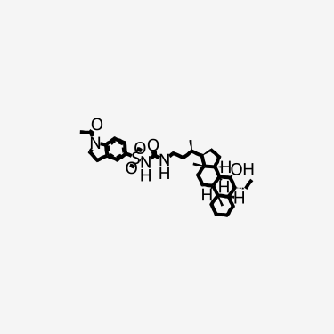 CC[C@H]1[C@@H](O)[C@@H]2[C@H](CC[C@]3(C)[C@@H]([C@H](C)CCNC(=O)NS(=O)(=O)c4ccc5c(c4)CCN5C(C)=O)CC[C@@H]23)[C@@]2(C)CCCC[C@@H]12